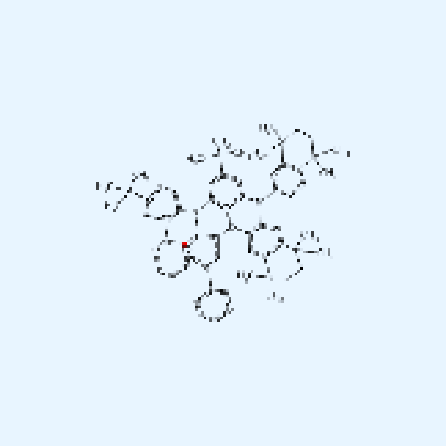 CC(C)(C)c1ccc(N2c3ccc(-c4ccccc4)cc3B3c4cc5c(cc4N(c4ccc6c(c4)C(C)(C)CCC6(C)C)c4cc(C(C)(C)C)cc2c43)C(C)(C)CCC5(C)C)c(-c2ccccc2)c1